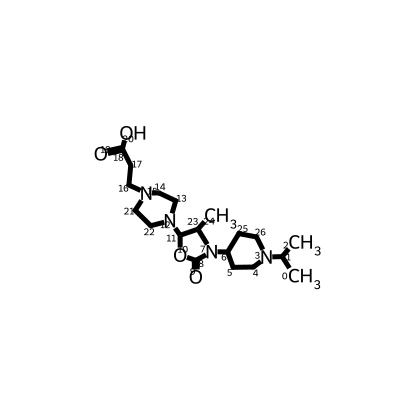 CC(C)N1CCC(N2C(=O)OC(N3CCN(CCC(=O)O)CC3)C2C)CC1